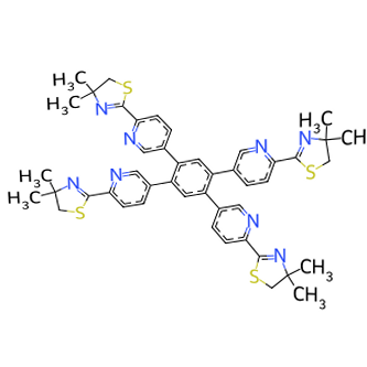 CC1(C)CSC(c2ccc(-c3cc(-c4ccc(C5=NC(C)(C)CS5)nc4)c(-c4ccc(C5=NC(C)(C)CS5)nc4)cc3-c3ccc(C4=NC(C)(C)CS4)nc3)cn2)=N1